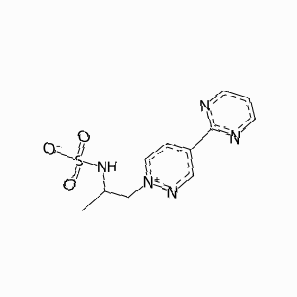 CC(C[n+]1ccc(-c2ncccn2)cn1)NS(=O)(=O)[O-]